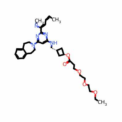 C=N/C(=C\C=C/C)c1nc(NC[C@H]2C[C@@H](OC(=O)CCOCCOCCOCC)C2)cc(N2CCc3ccccc3CC2)n1